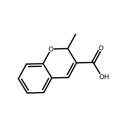 CC1Oc2ccccc2C=C1C(=O)O